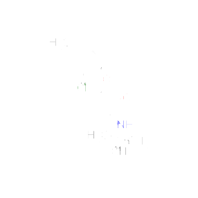 Cc1ccc(OCC(O)CNC(C)(C)C)c(Cl)c1